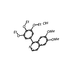 CCOc1cc(-c2nccc3cc(OC)c(OC)cc23)cc(OCC)c1OCC.Cl